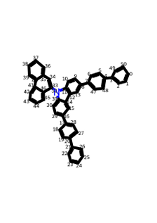 c1ccc(-c2ccc(-c3ccc4c(c3)c3cc(-c5ccc(-c6ccccc6)cc5)ccc3n4-c3cc4ccccc4c4ccccc34)cc2)cc1